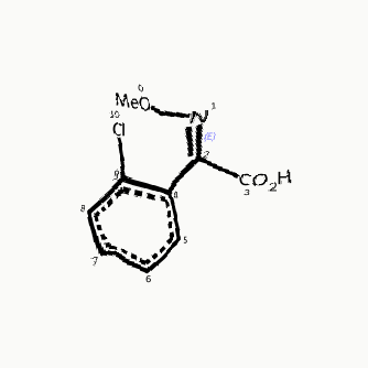 CO/N=C(/C(=O)O)c1ccccc1Cl